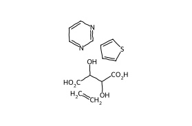 C=C.O=C(O)C(O)C(O)C(=O)O.c1ccsc1.c1cncnc1